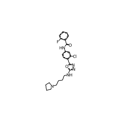 O=C(Nc1ccc(-c2nnc(NCCCCN3CCCC3)o2)c(Cl)c1)c1ccccc1F